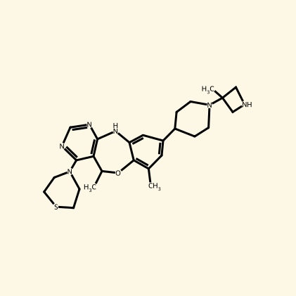 Cc1cc(C2CCN(C3(C)CNC3)CC2)cc2c1OC(C)c1c(ncnc1N1CCSCC1)N2